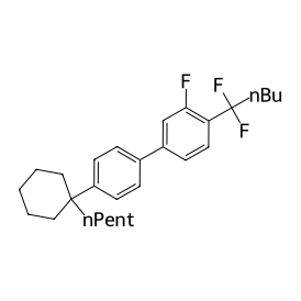 CCCCCC1(c2ccc(-c3ccc(C(F)(F)CCCC)c(F)c3)cc2)CCCCC1